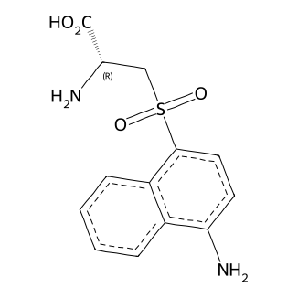 Nc1ccc(S(=O)(=O)C[C@H](N)C(=O)O)c2ccccc12